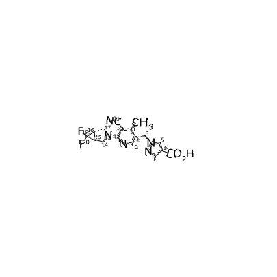 Cc1c(Cn2cc(C(=O)O)cn2)cnc(N2CC3C(C2)C3(F)F)c1C#N